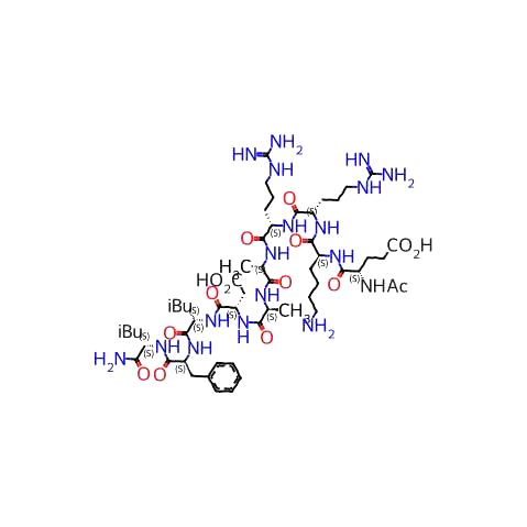 CC[C@H](C)[C@H](NC(=O)[C@H](Cc1ccccc1)NC(=O)[C@@H](NC(=O)[C@H](CC(=O)O)NC(=O)[C@H](C)NC(=O)[C@H](C)NC(=O)[C@H](CCCNC(=N)N)NC(=O)[C@H](CCCNC(=N)N)NC(=O)[C@H](CCCCN)NC(=O)[C@H](CCC(=O)O)NC(C)=O)[C@@H](C)CC)C(N)=O